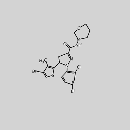 Cc1c(Br)csc1C1CC(C(=O)NN2CCCCC2)=NN1c1ccc(Cl)cc1Cl